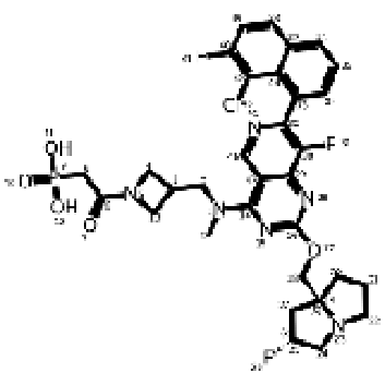 CN(CC1CN(C(=O)CP(=O)(O)O)C1)c1nc(OC[C@@]23CCCN2C[C@H](F)C3)nc2c(F)c(-c3cccc4ccc(F)c(Cl)c34)ncc12